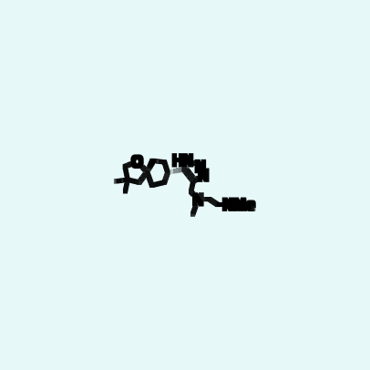 CNCCN(C)Cc1nn[nH]c1[C@H]1CC[C@@]2(CC1)CC(C)(C)CO2